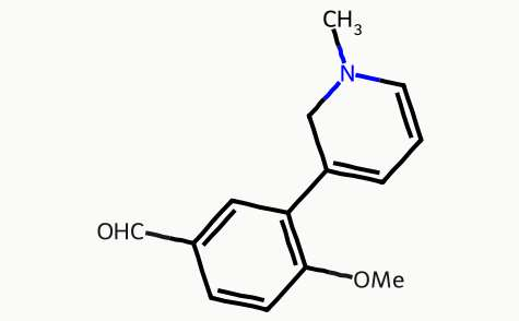 COc1ccc(C=O)cc1C1=CC=CN(C)C1